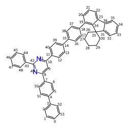 c1ccc(-c2ccc(-c3cc(-c4ccc(-c5ccc(-c6cccc7c6C6(CCCCC6)c6ccccc6-7)cc5)cc4)nc(-c4ccccc4)n3)cc2)cc1